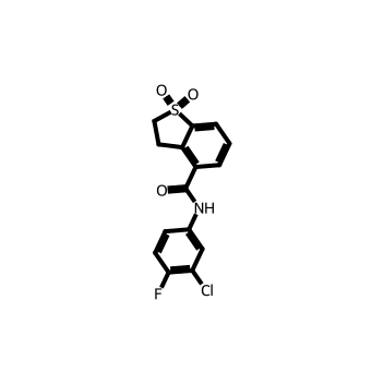 O=C(Nc1ccc(F)c(Cl)c1)c1cccc2c1CCS2(=O)=O